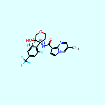 Cc1cnc2c(C(=O)N[C@]3(c4ccc(C(F)(F)F)cc4F)CCOC[C@@]3(C)O)ccn2c1